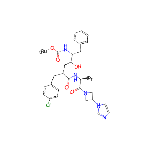 CC(C)[C@H](NC(=O)C(Cc1ccc(Cl)cc1)CC(O)C(Cc1ccccc1)NC(=O)OC(C)(C)C)C(=O)N1CC(n2ccnc2)C1